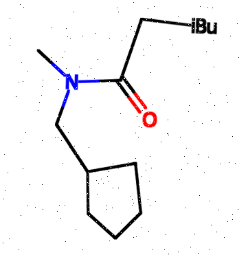 CCC(C)CC(=O)N(C)CC1CCCC1